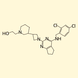 OCCN1CCCC(C2CN(c3nc4c(c(NCc5ccc(Cl)cc5Cl)n3)CCC4)C2)C1